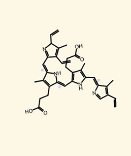 C=CC1=C(C)/C(=C/c2[nH]c(/C=c3\[nH]/c(=C\C4=NC(C=C)C(C)=C4C=C)c(C)c3CCC(=O)O)c(CCC(=O)O)c2C)N=C1